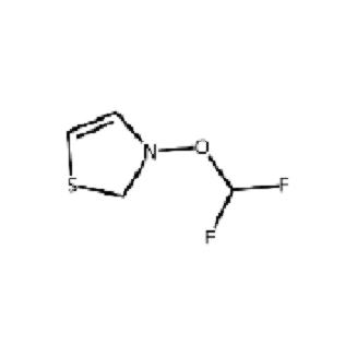 FC(F)ON1C=CSC1